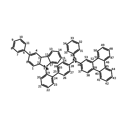 C1=CC2C(C=C1c1ccccc1)c1ccccc1N2c1ccccc1-c1ccc(N(c2ccccc2)c2ccc3c4ccccc4c4ccccc4c3c2)cc1